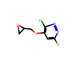 Clc1cc(OCC2CO2)c(Cl)nn1